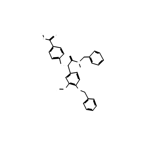 COc1cc([C@H](Nc2ccc(C(=N)NO)cc2)C(=O)N(C)Cc2ccccc2)ccc1OCc1ccccc1